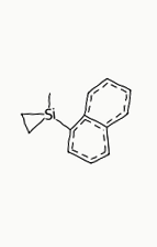 C[Si]1(c2cccc3ccccc23)CC1